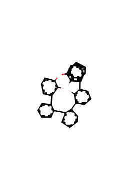 c1ccc(-c2cccc3c2B2c4ccccc4Oc4cccc(c42)-c2ccccc2-c2ccccc2-3)cc1